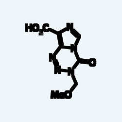 COCn1nnc2c(C(=O)O)ncn2c1=O